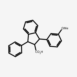 COc1cccc(C2c3ccccc3C(c3ccccc3)C2C(=O)O)c1